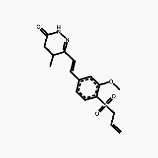 C=CCS(=O)(=O)c1ccc(C=CC2=NNC(=O)CC2C)cc1OC